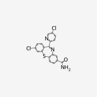 NC(=O)c1ccc2c(c1)N=C(c1ccc(Cl)cn1)c1ccc(Cl)cc1S2